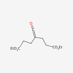 CCOC(=O)CCC(=C=O)CCC(=O)OCC